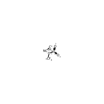 CC#N.O=[SH](=O)OC(F)(F)F